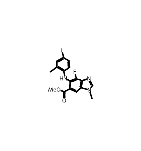 COC(=O)c1cc2c(ncn2C)c(F)c1Nc1ccc(I)cc1C